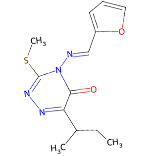 CCC(C)c1nnc(SC)n(N=Cc2ccco2)c1=O